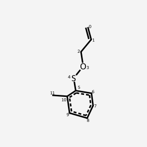 C=CCOSc1ccccc1C